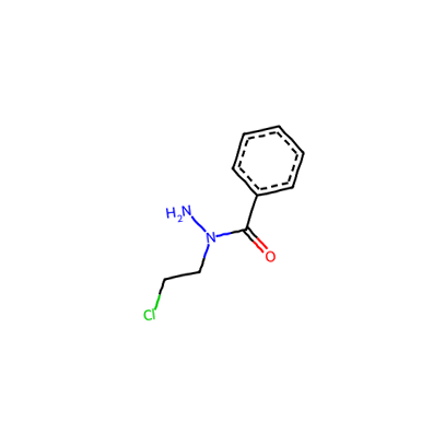 NN(CCCl)C(=O)c1ccccc1